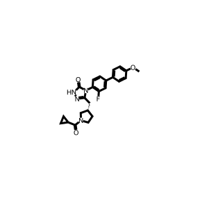 COc1ccc(-c2ccc(-n3c(C[C@@H]4CCN(C(=O)C5CC5)C4)n[nH]c3=O)c(F)c2)cc1